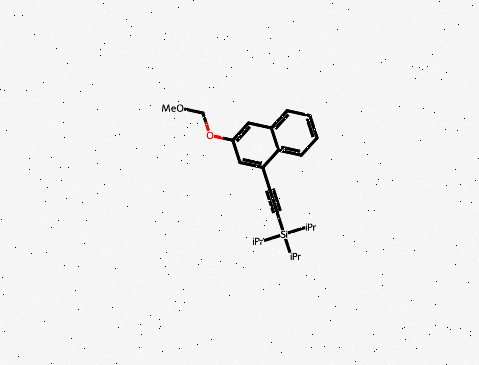 COCOc1cc(C#C[Si](C(C)C)(C(C)C)C(C)C)c2ccccc2c1